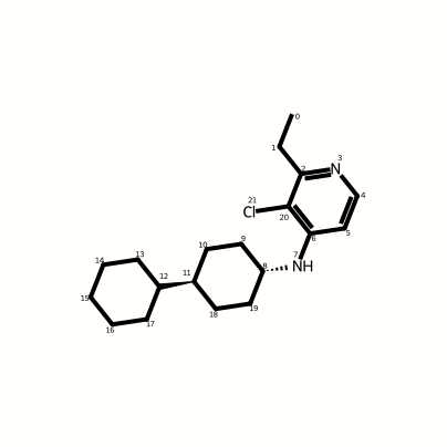 CCc1nccc(N[C@H]2CC[C@H](C3CCCCC3)CC2)c1Cl